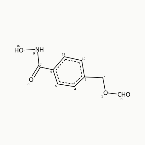 O=COCc1ccc(C(=O)NO)cc1